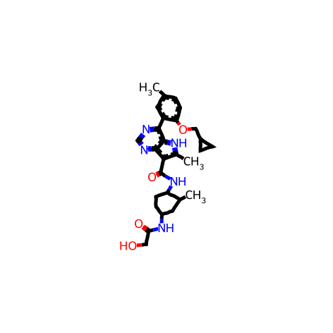 Cc1ccc(OCC2CC2)c(-c2ncnc3c(C(=O)NC4CCC(NC(=O)CO)CC4C)c(C)[nH]c23)c1